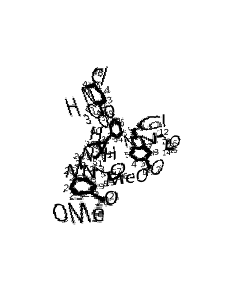 COC(=O)c1ccc2nc(CCl)n(C[C@@H]3CCO3)c2c1.COC(=O)c1ccc2nc(CN3C[C@@H]4C(c5cccc6c5OC(C)(c5ccc(Cl)cn5)O6)[C@@H]4C3)n(C[C@@H]3CCO3)c2c1